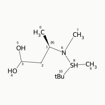 C[C@H](CC(O)O)N(C)[SH](C)C(C)(C)C